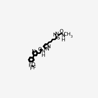 CNC(=O)c1nnc(CCCCc2ccc(NC(=O)Cc3cncc(-c4cccc(OC(F)(F)F)c4)c3)nn2)s1